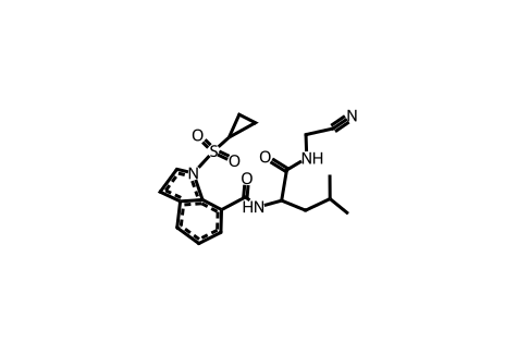 CC(C)CC(NC(=O)c1cccc2ccn(S(=O)(=O)C3CC3)c12)C(=O)NCC#N